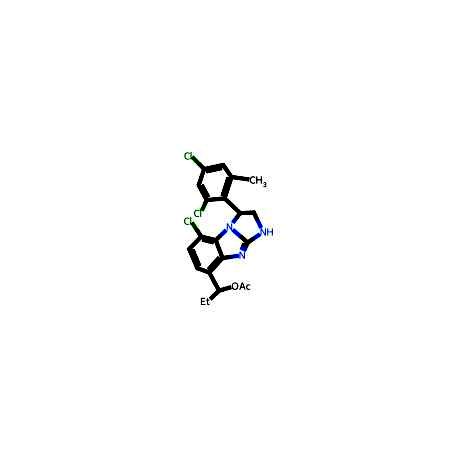 CCC(OC(C)=O)c1ccc(Cl)c2c1nc1n2C(c2c(C)cc(Cl)cc2Cl)CN1